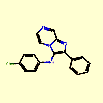 Clc1ccc(Nc2c(-c3ccccc3)nc3cnccn23)cc1